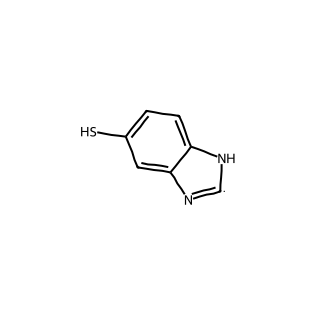 Sc1ccc2[nH][c]nc2c1